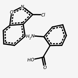 Clc1noc2ccccc12.Nc1ccccc1C(=O)O